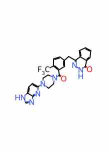 O=C(c1cc(Cc2n[nH]c(=O)c3ccccc23)ccc1C(F)(F)F)N1CCN(c2ccc3[nH]cnc3n2)CC1